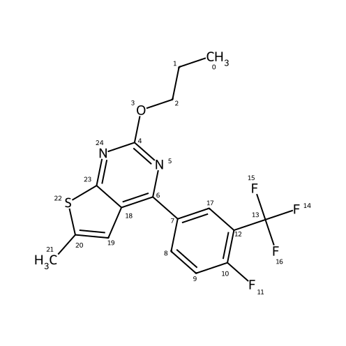 CCCOc1nc(-c2ccc(F)c(C(F)(F)F)c2)c2cc(C)sc2n1